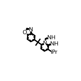 CC(C)c1ccc(C(C)(C)c2ccc3ocnc3c2)n(C=N)c1=N